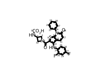 O=C(O)NC1CN(C(=O)c2sc3c(ccc(=O)n3-c3ccccc3)c2Nc2ccc(F)cc2F)C1